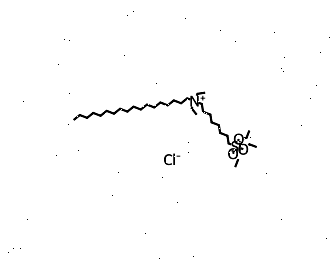 CCCCCCCCCCCCCCCCCC[N+](CC)(CC)CCCCCCCC[Si](OCC)(OCC)OCC.[Cl-]